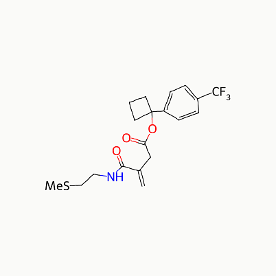 C=C(CC(=O)OC1(c2ccc(C(F)(F)F)cc2)CCC1)C(=O)NCCSC